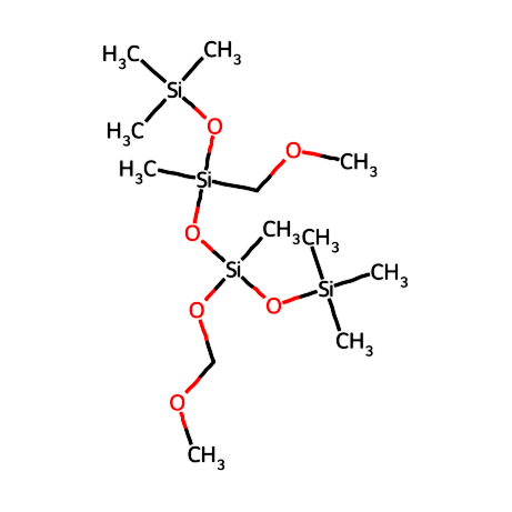 COCO[Si](C)(O[Si](C)(C)C)O[Si](C)(COC)O[Si](C)(C)C